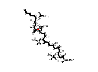 C=CC=C[C@H](C)[C@H](OC(N)=O)[C@@H](C)[C@H](O[Si](C)(C)C(C)(C)C)[C@@H](C)C(=O)CNC[C@H](C)[C@@H](O[Si](C)(C)C(C)(C)C)C(C)C=C[C@@H](O)CC(=O)[C@H](C)[C@H](O[Si](C)(C)C(C)(C)C)[C@@H](C)C(=O)N(C)OC